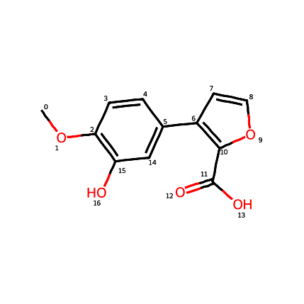 COc1ccc(-c2ccoc2C(=O)O)cc1O